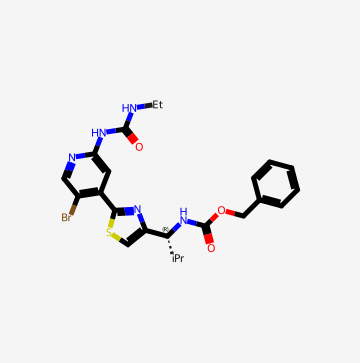 CCNC(=O)Nc1cc(-c2nc([C@H](NC(=O)OCc3ccccc3)C(C)C)cs2)c(Br)cn1